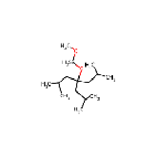 CO[SiH2]OC(CC(C)C)(CC(C)C)CC(C)C